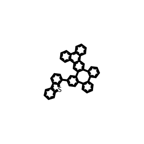 c1ccc2c(c1)-c1ccccc1-c1cc3c4ccccc4c4ccccc4c3cc1-c1cc(-c3cccc4c3sc3ccccc34)ccc1-2